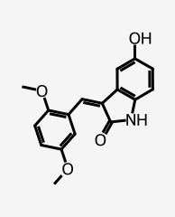 COc1ccc(OC)c(C=C2C(=O)Nc3ccc(O)cc32)c1